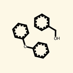 OCc1ccccc1.c1ccc(Oc2ccccc2)cc1